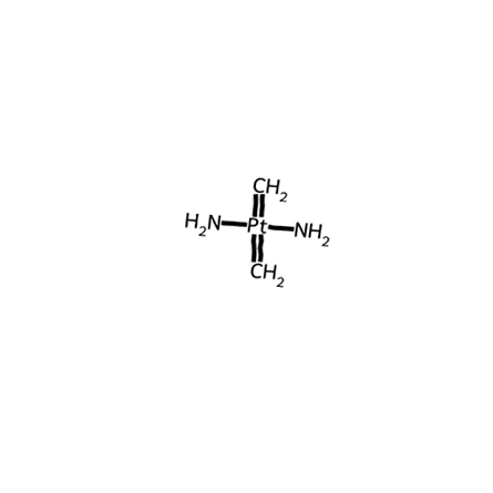 [CH2]=[Pt](=[CH2])([NH2])[NH2]